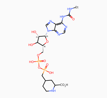 CCNC(=O)Nc1ncnc2c1ncn2[C@@H]1O[C@H](COP(=O)(O)OP(=O)(O)CC2CCNC(C(=O)O)C2)C(O)[C@@H]1O